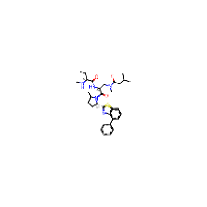 CC[C@H](NC)C(=O)N[C@@H](CN(C)C(=O)CC(C)C)C(=O)N1C(C)CC[C@H]1c1nc2c(-c3ccccc3)cccc2s1